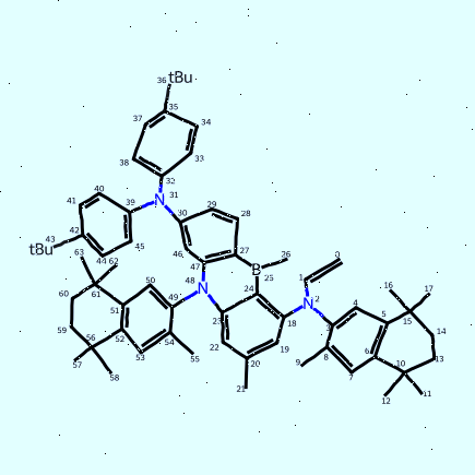 C=CN(c1cc2c(cc1C)C(C)(C)CCC2(C)C)c1cc(C)cc2c1B(C)c1ccc(N(c3ccc(C(C)(C)C)cc3)c3ccc(C(C)(C)C)cc3)cc1N2c1cc2c(cc1C)C(C)(C)CCC2(C)C